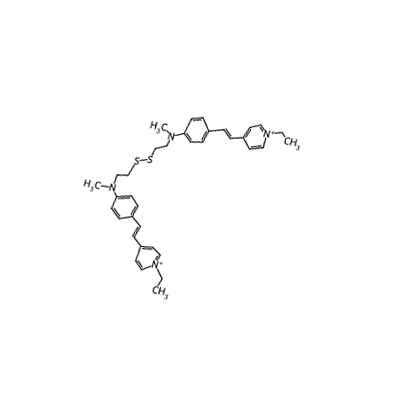 CC[n+]1ccc(/C=C/c2ccc(N(C)CCSSCCN(C)c3ccc(/C=C/c4cc[n+](CC)cc4)cc3)cc2)cc1